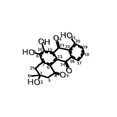 CC1(O)CC(=O)c2c(c(O)c(O)c3c2C(=O)c2cccc(O)c2C3=O)C1